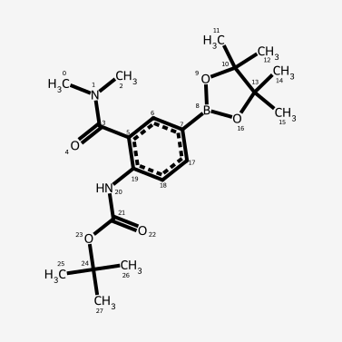 CN(C)C(=O)c1cc(B2OC(C)(C)C(C)(C)O2)ccc1NC(=O)OC(C)(C)C